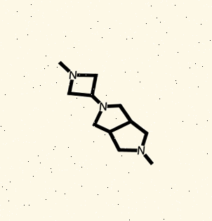 CN1CC2CN(C3CN(C)C3)CC2C1